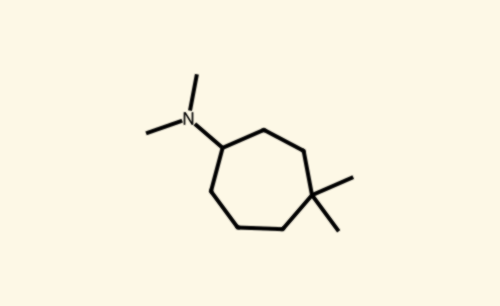 CN(C)C1CCCC(C)(C)CC1